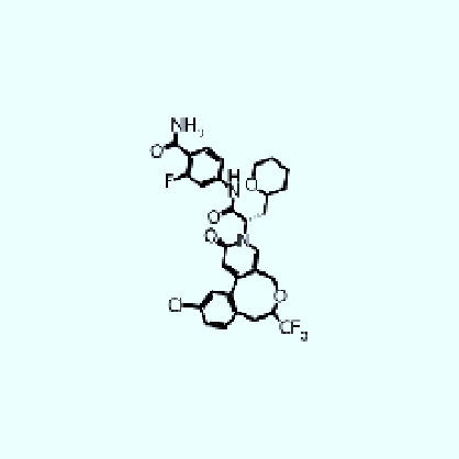 NC(=O)c1ccc(NC(=O)[C@H](C[C@@H]2CCCCO2)n2cc3c(cc2=O)-c2cc(Cl)ccc2CC(C(F)(F)F)OC3)cc1F